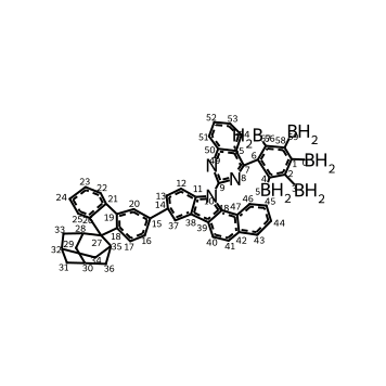 Bc1c(B)c(B)c(-c2nc(-n3c4ccc(-c5ccc6c(c5)-c5ccccc5C65C6CC7CC(C6)CC5C7)cc4c4ccc5ccccc5c43)nc3ccccc23)c(B)c1B